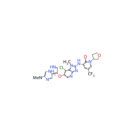 CNC1=CN/C(=C(\C=N)Oc2cnc3nc(Nc4cc(C(F)(F)F)cn(C5CCOC5)c4=O)n(C)c3c2Cl)C=N1